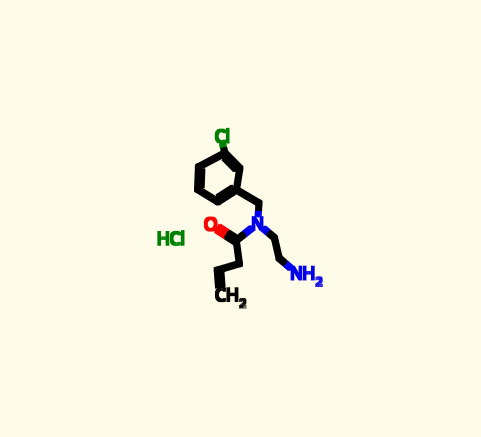 C=CCC(=O)N(CCN)Cc1cccc(Cl)c1.Cl